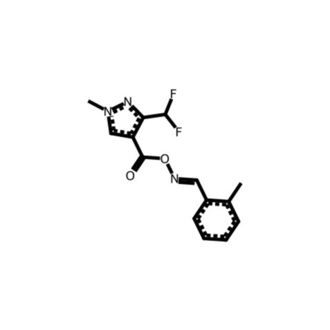 Cc1ccccc1/C=N/OC(=O)c1cn(C)nc1C(F)F